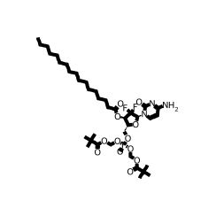 CCCCCCCCCCCCCCCCC(=O)O[C@@H]1[C@@H](COP(=O)(OCOC(=O)C(C)(C)C)OCOC(=O)C(C)(C)C)O[C@@H](n2ccc(N)nc2=O)C1(F)F